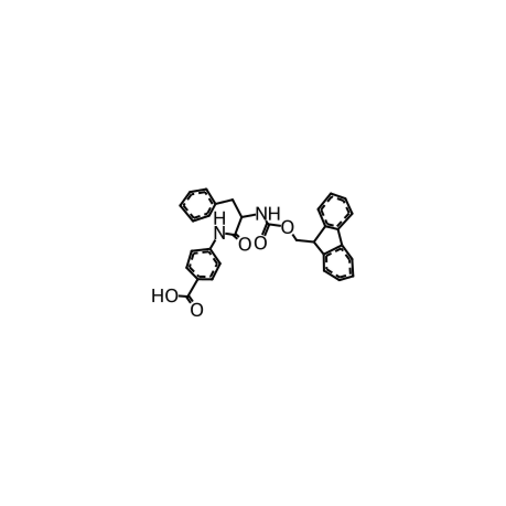 O=C(NC(Cc1ccccc1)C(=O)Nc1ccc(C(=O)O)cc1)OCC1c2ccccc2-c2ccccc21